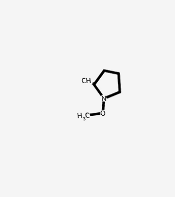 C.CON1CCCC1